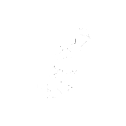 COc1ncc2cnn(C)c2c1NS(=O)(=O)c1cnn(-c2ccnc(C(F)(F)F)c2)c1